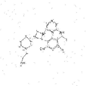 CC(Nc1cncc(N2CC([C@H]3CCCN(CCO)C3)C2)n1)c1ccc(Cl)cc1Cl